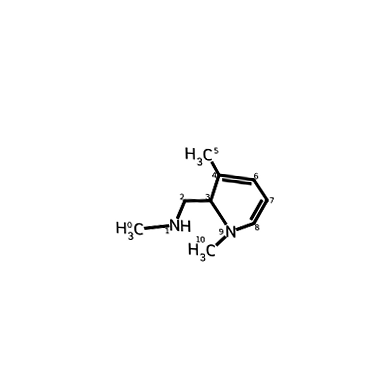 CNCC1C(C)=CC=CN1C